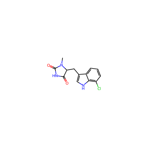 CN1C(=O)NC(=O)C1Cc1c[nH]c2c(Cl)cccc12